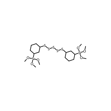 CO[Si](OC)(OC)C1CCCC(SSSSSC2CCCC([Si](OC)(OC)OC)C2)C1